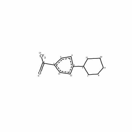 O=C(c1ccc(C2CC[CH]CC2)cc1)C(F)(F)F